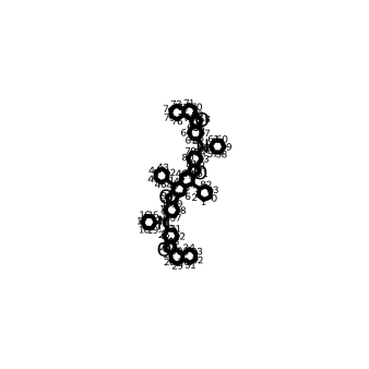 c1ccc(-c2c3cc4c(oc5cc(N(c6ccccc6)c6ccc7c(c6)oc6ccc8ccccc8c67)ccc54)c(-c4ccccc4)c3cc3c2oc2cc(N(c4ccccc4)c4ccc5c(c4)oc4ccc6ccccc6c45)ccc23)cc1